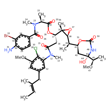 C/C=C(\C)Cc1cc(OC)c(Cl)c(N(C)C(=O)C[C@H](OC(=O)[C@H](C)N(C)C(=O)c2ccc(N)c(Br)c2)[C@]2(C)O[C@H]2[C@H](C)[C@@H]2C[C@](O)([C@@H](C)OC)NC(=O)O2)c1